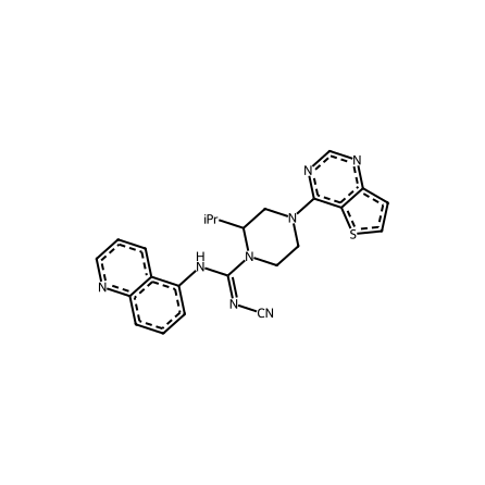 CC(C)C1CN(c2ncnc3ccsc23)CCN1/C(=N\C#N)Nc1cccc2ncccc12